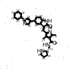 Cc1[nH]c(/C=C2\C(=O)Nc3ccc(-c4cnn(-c5ccccc5)c4)cc32)c(C)c1C(=O)NC[C@@H]1CCCN1